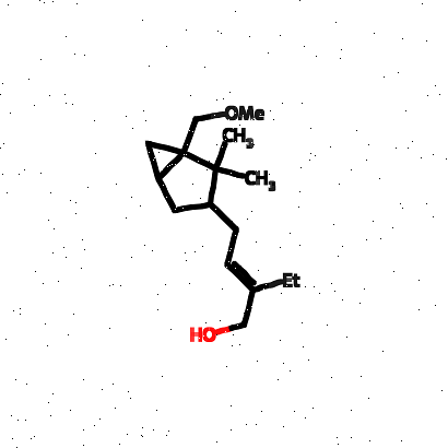 CC/C(=C\CC1CC2CC2(COC)C1(C)C)CO